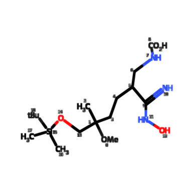 COC(C)(CCC(CNC(=O)O)C(=N)NO)CO[Si](C)(C)C(C)(C)C